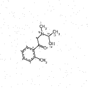 Cc1ccccc1C(=O)CN(C)C(C)O